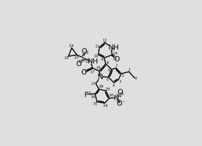 CCc1ccc2c(c1)c(-c1ccc[nH]c1=O)c(C(=O)NS(=O)(=O)C1CC1)n2Cc1cc([N+](=O)[O-])ccc1F